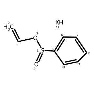 C=COS(=O)c1ccccc1.[KH]